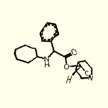 O=C(O[C@H]1CN2CCC1CC2)C(NC1CCCCC1)c1ccccc1